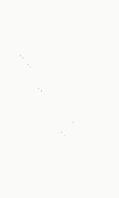 Cn1nccc1C(=O)NCCc1c[nH]c2ccc(Cl)cc12